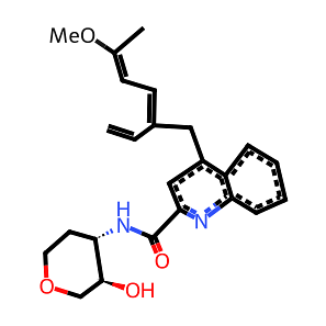 C=C/C(=C\C=C(/C)OC)Cc1cc(C(=O)N[C@H]2CCOC[C@@H]2O)nc2ccccc12